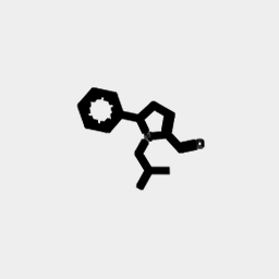 CC(C)CN1C(C=O)=CCC1c1ccccc1